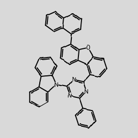 c1ccc(-c2nc(-c3cccc4oc5c(-c6cccc7ccccc67)cccc5c34)nc(-n3c4ccccc4c4ccccc43)n2)cc1